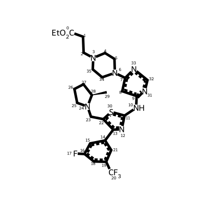 CCOC(=O)CCN1CCN(c2cc(Nc3nc(-c4cc(F)cc(C(F)(F)F)c4)c(CN4CCC[C@H]4C)s3)ncn2)CC1